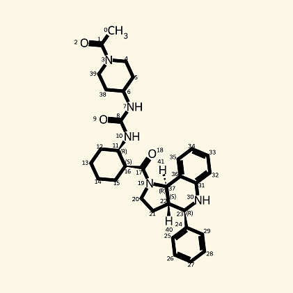 CC(=O)N1CCC(NC(=O)N[C@@H]2CCCC[C@@H]2C(=O)N2CC[C@H]3[C@H](c4ccccc4)Nc4ccccc4[C@@H]32)CC1